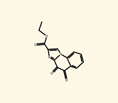 CCOC(=O)c1cn2c(n1)C(=O)C(=O)c1ccccc1-2